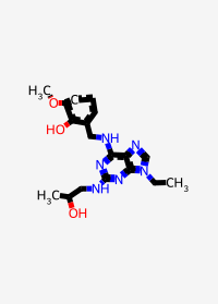 CCn1cnc2c(NCc3cccc(OC)c3O)nc(NCC(C)O)nc21